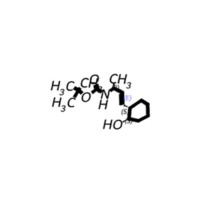 C[C@H](/C=C/[C@@H]1CCCC[C@@H]1O)NC(=O)OC(C)(C)C